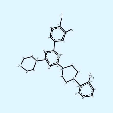 Cc1cc(-c2nc(N3CCSCC3)nc(N3CCN(c4ncccc4C(F)(F)F)CC3)n2)ccc1F